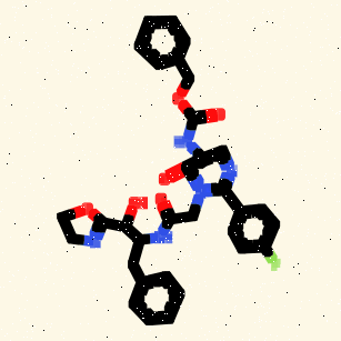 O=C(Cn1c(-c2ccc(F)cc2)ncc(NC(=O)OCc2ccccc2)c1=O)NC(Cc1ccccc1)C(O)C1=NCCO1